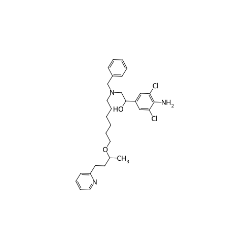 CC(CCc1ccccn1)OCCCCCCN(Cc1ccccc1)CC(O)c1cc(Cl)c(N)c(Cl)c1